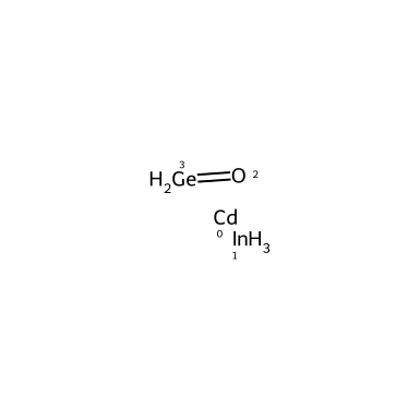 [Cd].[InH3].[O]=[GeH2]